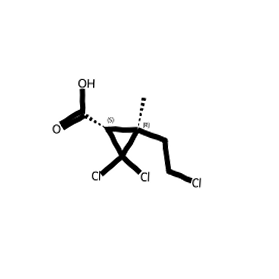 C[C@@]1(CCCl)[C@@H](C(=O)O)C1(Cl)Cl